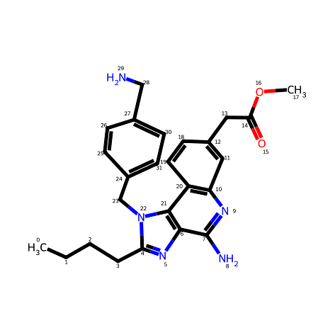 CCCCc1nc2c(N)nc3cc(CC(=O)OC)ccc3c2n1Cc1ccc(CN)cc1